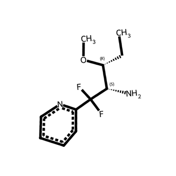 CC[C@@H](OC)[C@H](N)C(F)(F)c1ccccn1